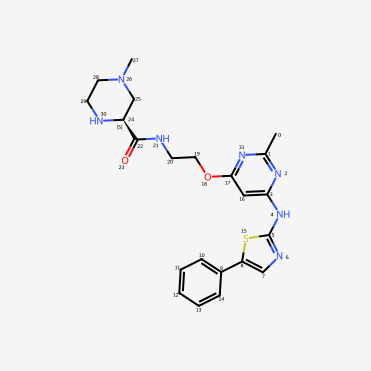 Cc1nc(Nc2ncc(-c3ccccc3)s2)cc(OCCNC(=O)[C@@H]2CN(C)CCN2)n1